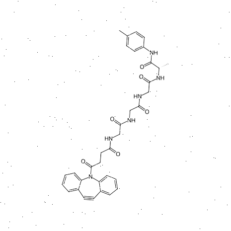 Cc1ccc(NC(=O)[C@H](C)NC(=O)CNC(=O)CNC(=O)CNC(=O)CCC(=O)N2c3ccccc3C#Cc3ccccc32)cc1